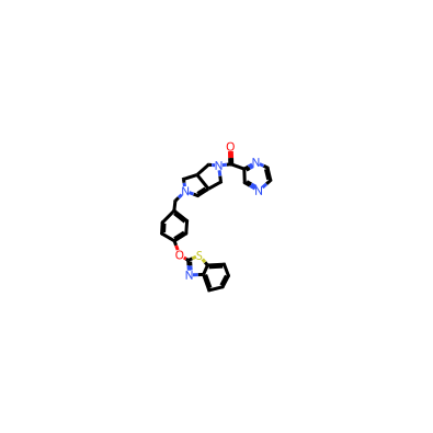 O=C(c1cnccn1)N1CC2=CN(Cc3ccc(Oc4nc5ccccc5s4)cc3)CC2C1